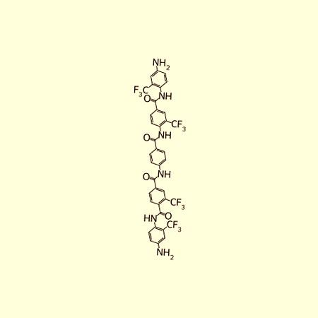 Nc1ccc(NC(=O)c2ccc(NC(=O)c3ccc(NC(=O)c4ccc(C(=O)Nc5ccc(N)cc5C(F)(F)F)c(C(F)(F)F)c4)cc3)c(C(F)(F)F)c2)c(C(F)(F)F)c1